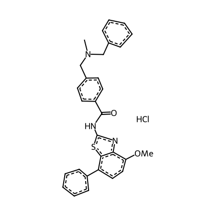 COc1ccc(-c2ccccc2)c2sc(NC(=O)c3ccc(CN(C)Cc4ccccc4)cc3)nc12.Cl